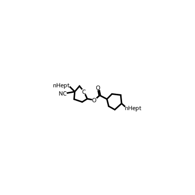 CCCCCCCC1CCC(C(=O)OC2CCC(C#N)(CCCCCCC)CC2)CC1